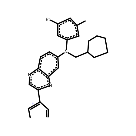 C=C/C(=C\C)c1cnc2ccc(N(CC3CCCCC3)c3cc(C)cc(CC)c3)cc2n1